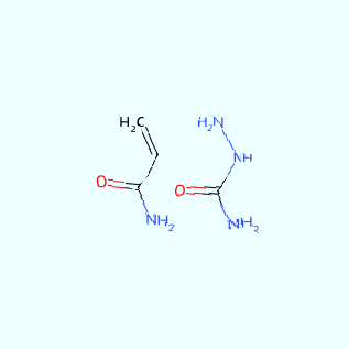 C=CC(N)=O.NNC(N)=O